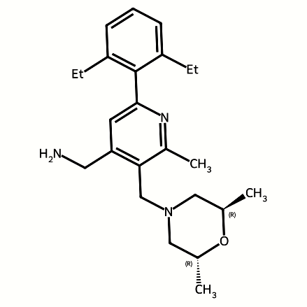 CCc1cccc(CC)c1-c1cc(CN)c(CN2C[C@@H](C)O[C@H](C)C2)c(C)n1